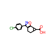 O=C(O)C1C2CCc3c(-c4ccc(Cl)cc4)noc3C21